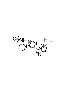 C[C@@H]1CC(CS(C)(=N)=O)[C@H](C)N(c2cc(-c3cnc4ccc(C(F)F)nn34)ncn2)C1